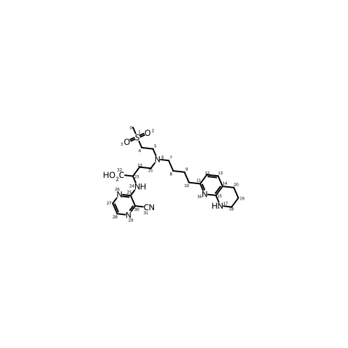 CS(=O)(=O)CCN(CCCCc1ccc2c(n1)NCCC2)CCC(Nc1nccnc1C#N)C(=O)O